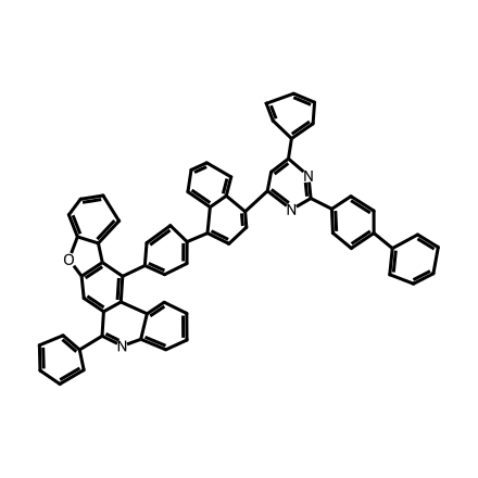 c1ccc(-c2ccc(-c3nc(-c4ccccc4)cc(-c4ccc(-c5ccc(-c6c7c(cc8c(-c9ccccc9)nc9ccccc9c68)oc6ccccc67)cc5)c5ccccc45)n3)cc2)cc1